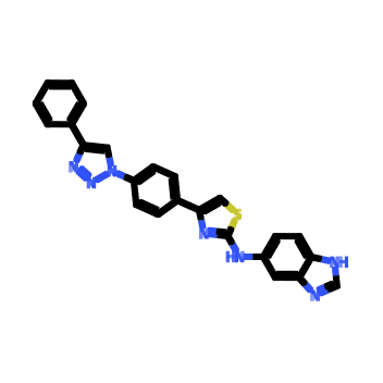 c1ccc(-c2cn(-c3ccc(-c4csc(Nc5ccc6[nH]cnc6c5)n4)cc3)nn2)cc1